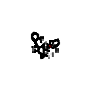 Cc1ccccc1-c1noc(C2CC2)c1COC1CC2CC[C@@H](C1)N2c1nc(C(=O)O)cs1